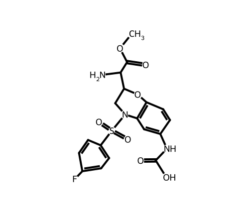 COC(=O)C(N)C1CN(S(=O)(=O)c2ccc(F)cc2)c2cc(NC(=O)O)ccc2O1